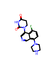 O=C1CCN(c2cncc3c(N4CCNCC4)ccc(F)c23)C(=O)N1